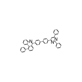 c1ccc(-c2cc(-c3ccc(-c4ccc(-c5nc6ccccc6c6c(-c7ccccc7)cccc56)cc4)cc3)nc(-c3ccccc3)n2)cc1